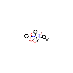 COc1ccc(C(C)(C)C)cc1CN[C@H]1[C@H](C(C)(C)C)[C@@H](C(=O)O)N(C(=O)[C@H](OC)c2ccccc2)[C@H]1c1ccccc1